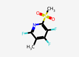 Cc1c(F)nc(S(C)(=O)=O)c(F)c1F